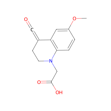 COc1ccc2c(c1)C(=C=O)CCN2CC(=O)O